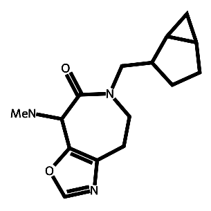 CNC1C(=O)N(CC2CCC3CC32)CCc2ncoc21